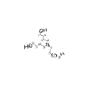 O=S(=O)(O)CCN(CCCCO)CCCCO